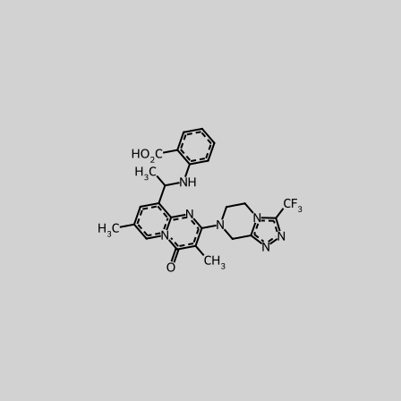 Cc1cc(C(C)Nc2ccccc2C(=O)O)c2nc(N3CCn4c(nnc4C(F)(F)F)C3)c(C)c(=O)n2c1